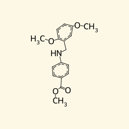 COC(=O)c1ccc(NCc2cc(OC)ccc2OC)cc1